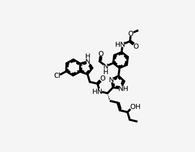 CCC(O)/C=C/C[C@H](NC(=O)Cc1c[nH]c2ccc(Cl)cc12)c1nc(-c2ccc(NC(=O)OC)cc2NC=O)c[nH]1